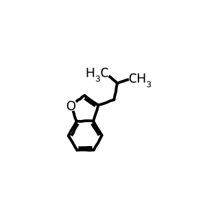 CC(C)Cc1coc2ccccc12